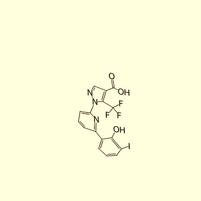 O=C(O)c1cnn(-c2cccc(-c3cccc(I)c3O)n2)c1C(F)(F)F